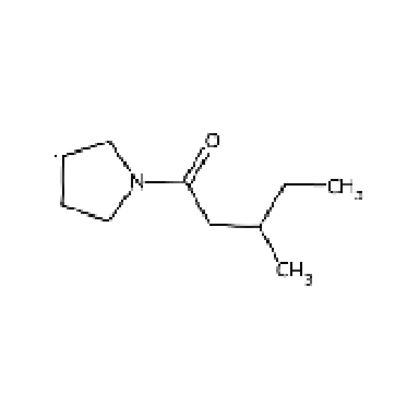 CCC(C)CC(=O)N1C[CH]CC1